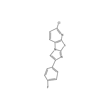 Fc1ccc(-c2cn3c(n2)sc2nc(Cl)ccc23)cc1